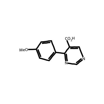 COc1ccc(-c2ncncc2C(=O)O)cc1